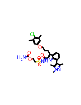 Cc1cc(OCCCc2c(C(=O)NS(=O)(=O)CCOC(N)=O)[nH]c3c(-c4c(C)nn(C)c4C)cccc23)cc(C)c1Cl